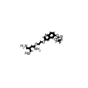 N/C=C(\C=C(/N)OCCOc1cnc2ccc(OS(=O)(=O)C(F)(F)F)cc2c1)CO